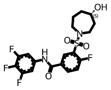 O=C(Nc1cc(F)c(F)c(F)c1)c1ccc(F)c(S(=O)(=O)N2CCC[C@H](O)CC2)c1